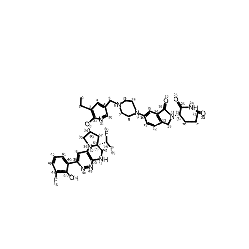 CCc1cc(CN2CCN(c3ccc4c(c3)C(=O)N([C@H]3CCC(=O)NC3=O)C4)CC2)cnc1O[C@H]1CN2c3cc(-c4cccc(F)c4O)nnc3NC[C@]2(C(F)F)C1